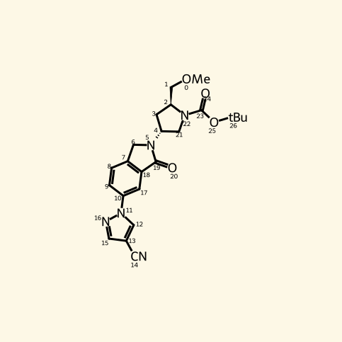 COC[C@@H]1C[C@@H](N2Cc3ccc(-n4cc(C#N)cn4)cc3C2=O)CN1C(=O)OC(C)(C)C